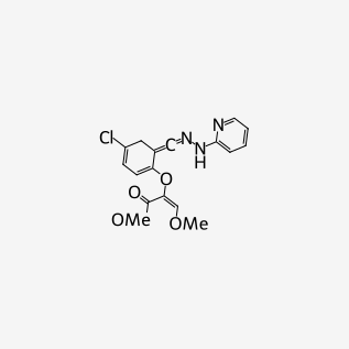 COC=C(OC1=CC=C(Cl)CC1=C=NNc1ccccn1)C(=O)OC